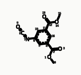 COC(=O)c1cc(N=C=O)cc(C(=O)OC)c1